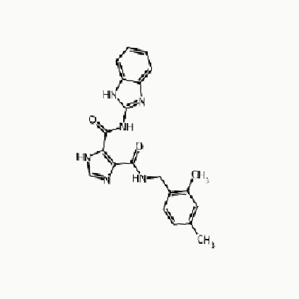 Cc1ccc(CNC(=O)c2nc[nH]c2C(=O)Nc2nc3ccccc3[nH]2)c(C)c1